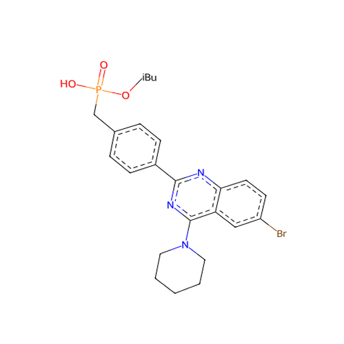 CCC(C)OP(=O)(O)Cc1ccc(-c2nc(N3CCCCC3)c3cc(Br)ccc3n2)cc1